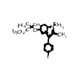 CCOC(=O)C(C)(C)Oc1ccc2c(c1)c(-c1ccc(F)cc1)c(C)n2C